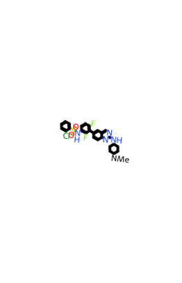 CNC1CCC(Nc2ncc3cc(-c4c(F)ccc(NS(=O)(=O)c5ccccc5Cl)c4F)ccc3n2)CC1